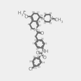 COC1=C2CCN(C(=O)Cc3ccc(NS(=O)(=O)c4ccc(Cl)cc4)cc3)C=C2C(N2CCN(C)CC2)CC1